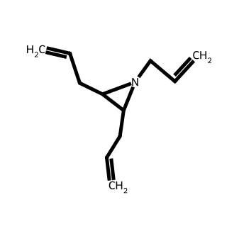 C=CCC1C(CC=C)N1CC=C